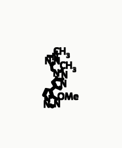 COc1ncnn2ccc(-c3cnc4nc(C)n(Cc5ncn(C)n5)c4c3)c12